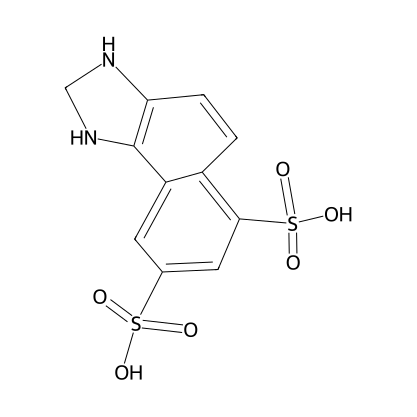 O=S(=O)(O)c1cc(S(=O)(=O)O)c2ccc3c(c2c1)NCN3